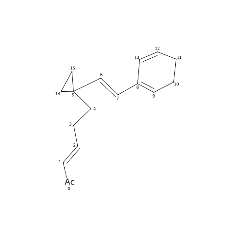 CC(=O)/C=C/CCC1(/C=C/C2=CCCC=C2)CC1